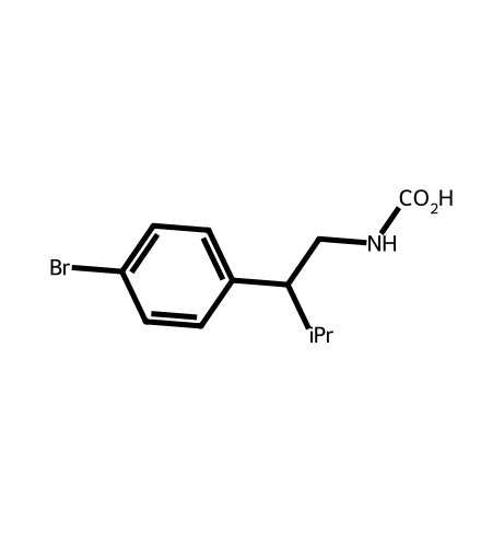 CC(C)C(CNC(=O)O)c1ccc(Br)cc1